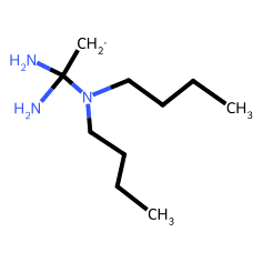 [CH2]C(N)(N)N(CCCC)CCCC